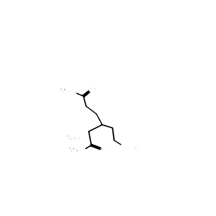 COC(=O)CCC(CCS(=O)(=O)O)CC(=O)OC.[NaH]